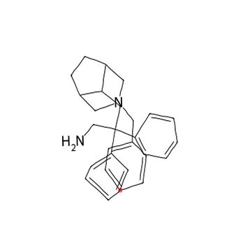 NCC(CC1C2CCC1CN(Cc1ccccc1)C2)(c1ccccc1)c1ccccc1